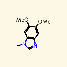 COc1cc2ncn(C)c2cc1OC